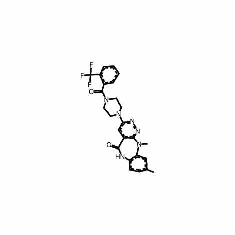 Cc1ccc2c(c1)N(C)c1nnc(N3CCN(C(=O)c4ccccc4C(F)(F)F)CC3)cc1C(=O)N2